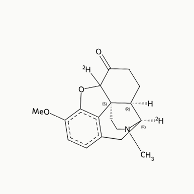 [2H]C12Oc3c(OC)ccc4c3[C@@]13CCN(C)[C@]([2H])(C4)[C@@H]3CCC2=O